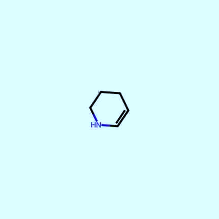 [C]1CC=CNC1